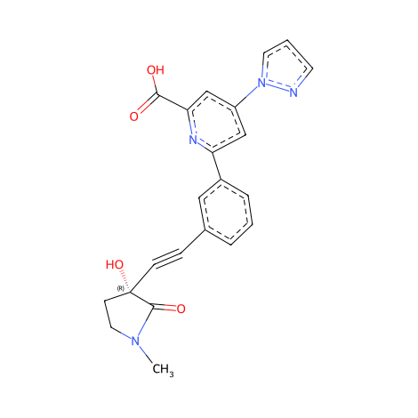 CN1CC[C@@](O)(C#Cc2cccc(-c3cc(-n4cccn4)cc(C(=O)O)n3)c2)C1=O